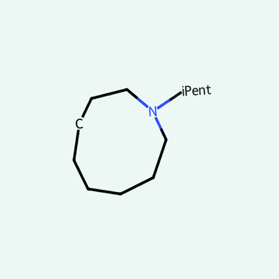 CCCC(C)N1CCCCCCCC1